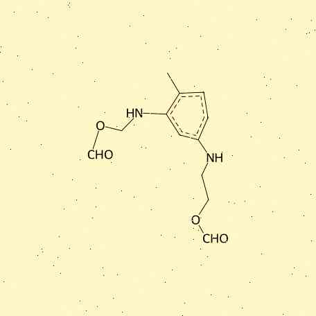 Cc1ccc(NCCOC=O)cc1NCOC=O